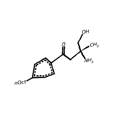 CCCCCCCCc1ccc(C(=O)C[C@@](C)(N)CO)cc1